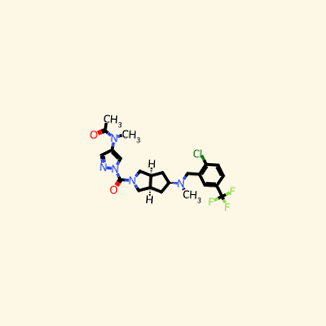 CC(=O)N(C)c1cnn(C(=O)N2C[C@H]3C[C@@H](N(C)Cc4cc(C(F)(F)F)ccc4Cl)C[C@H]3C2)c1